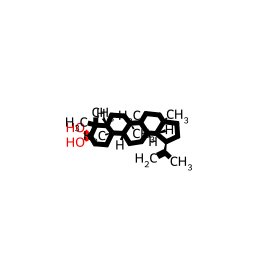 C=C(C)[C@@H]1CC[C@]2(C)CC[C@]3(C)[C@H](CC[C@@H]4[C@@]5(C)CCC(O)(O)C(C)(C)[C@@H]5CC[C@]43C)[C@@H]12